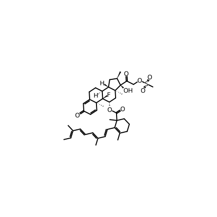 CC=C(C)C=CC=C(C)C=CC1=C(C)CCCC1(C)C(=O)O[C@H]1C[C@@]2(C)[C@@H](C[C@@H](C)[C@]2(O)C(=O)COS(C)(=O)=O)[C@@H]2CCC3=CC(=O)C=C[C@]3(C)[C@@]12F